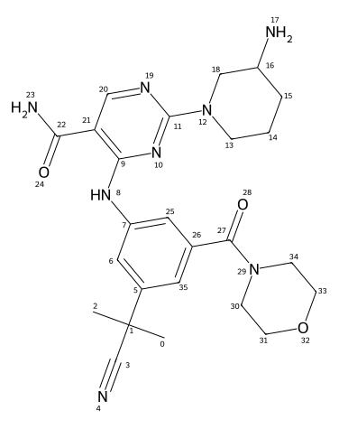 CC(C)(C#N)c1cc(Nc2nc(N3CCCC(N)C3)ncc2C(N)=O)cc(C(=O)N2CCOCC2)c1